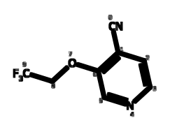 N#Cc1ccncc1OCC(F)(F)F